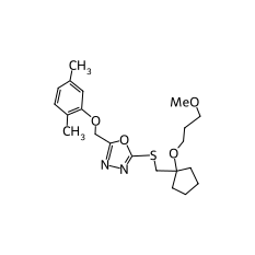 COCCCOC1(CSc2nnc(COc3cc(C)ccc3C)o2)CCCC1